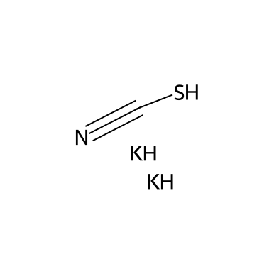 N#CS.[KH].[KH]